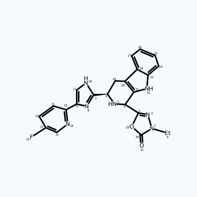 CCn1nc(C2N[C@@H](c3nc(-c4ccc(F)cn4)c[nH]3)Cc3c2[nH]c2ccccc32)oc1=O